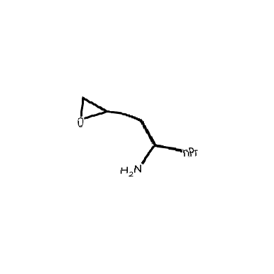 CCCC(N)CC1CO1